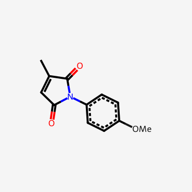 COc1ccc(N2C(=O)C=C(C)C2=O)cc1